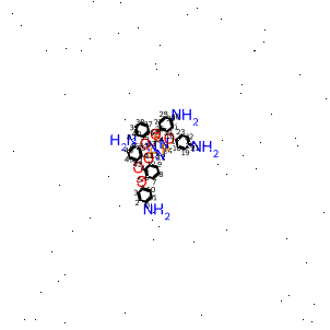 Nc1ccc(Oc2cccc(Op3npn(Oc4ccc(N)cc4)p(Oc4ccc(N)cc4)n3Oc3ccccc3)c2Oc2ccc(N)cc2)cc1